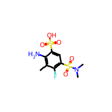 Cc1c(N)c(S(=O)(=O)O)cc(S(=O)(=O)N(C)C)c1F